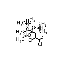 C[SiH](C)O[Si](CC(Cl)C(Cl)Cl)(O[SiH](C)C)O[SiH](C)C